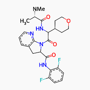 CN[C@@H](C)C(=O)NC(C(=O)N1c2ncccc2CC1C(=O)Nc1c(F)cccc1F)C1CCOCC1